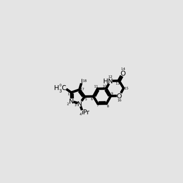 Cc1nn(C(C)C)c(-c2ccc3c(c2)NC(=O)CO3)c1I